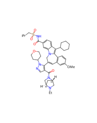 CCN1C[C@@H]2C[C@@H]1CN2C(=O)c1cnn(C2CCOCC2)c1C1=Cc2cc(OC)ccc2-c2c(C3CCCCC3)c3ccc(C(=O)NS(=O)(=O)CC(C)C)cc3n2C1